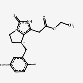 CCOC(=O)Cc1[nH]c(=S)n2c1[C@@H](Cc1cc(F)ccc1F)CC2